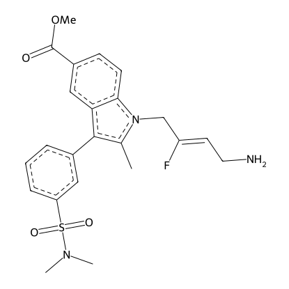 COC(=O)c1ccc2c(c1)c(-c1cccc(S(=O)(=O)N(C)C)c1)c(C)n2CC(F)=CCN